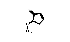 CON1CC=CC1=S